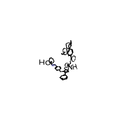 CCOc1ccc(C(=O)CCC(=O)Nc2cc(-c3ccccc3)c(Cc3ccc(/C=C/C(=O)O)cc3)s2)cc1OCC